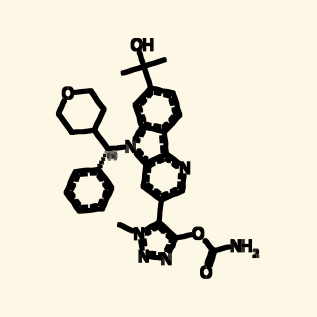 Cn1nnc(OC(N)=O)c1-c1cnc2c3ccc(C(C)(C)O)cc3n([C@H](c3ccccc3)C3CCOCC3)c2c1